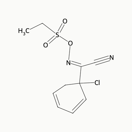 CCS(=O)(=O)ON=C(C#N)C1(Cl)C=CC=CC1